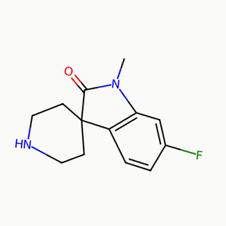 CN1C(=O)C2(CCNCC2)c2ccc(F)cc21